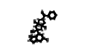 O=C(c1ccccc1)N1C[C@@H]2CC(O)(c3cc(Cl)cc4cn[nH]c34)C[C@@H]2C1